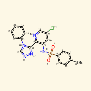 CC(C)(C)c1ccc(S(=O)(=O)Nc2cc(Cl)cnc2-c2nncn2-c2ccccc2)cc1